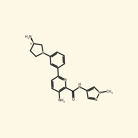 Cn1cc(NC(=O)c2nc(-c3cccc(N4CC[C@@H](N)C4)c3)ccc2N)cn1